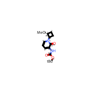 CO[C@@H]1CCC1n1cccc(NC(=O)OC(C)(C)C)c1=O